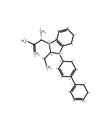 C=C(C)[C@H](C)N1C2=C(CCC=C2)N(C2C=CC(C3=CC=CCC3)=CC2)C1CC